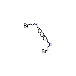 BrCC/C=C\CCOCOCOCC/C=C\CCBr